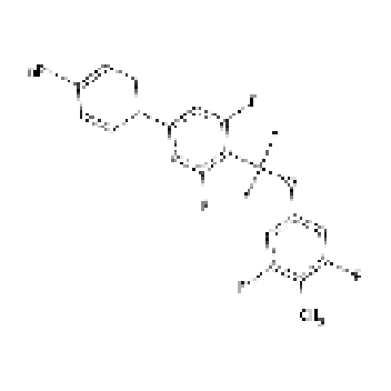 CCCC1=CCC(c2cc(F)c(C(F)(F)Oc3cc(F)c(C)c(F)c3)c(F)c2)C=C1